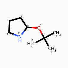 CC(C)(C)O[C@@H]1CCCN1